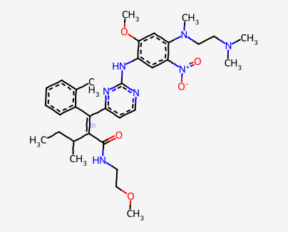 CCC(C)/C(C(=O)NCCOC)=C(/c1ccnc(Nc2cc([N+](=O)[O-])c(N(C)CCN(C)C)cc2OC)n1)c1ccccc1C